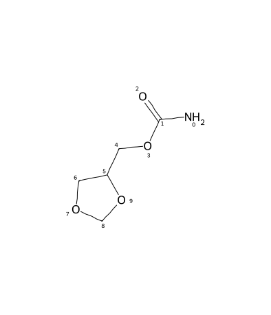 NC(=O)OCC1COCO1